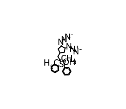 CC(C)(CC1CC(N=[N+]=[N-])C(N=[N+]=[N-])C1)[Si](O)(c1ccccc1)c1ccccc1